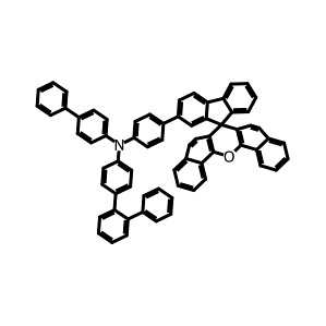 c1ccc(-c2ccc(N(c3ccc(-c4ccc5c(c4)C4(c6ccccc6-5)c5ccc6ccccc6c5Oc5c4ccc4ccccc54)cc3)c3ccc(-c4ccccc4-c4ccccc4)cc3)cc2)cc1